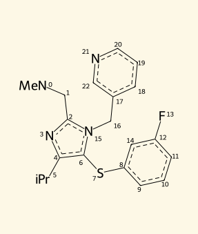 CNCc1nc(C(C)C)c(Sc2cccc(F)c2)n1Cc1cccnc1